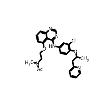 CC(=O)N(C)CCOc1cccc2ncnc(Nc3ccc(OC(C)Cc4ccccn4)c(Cl)c3)c12